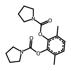 Cc1ccc(C)c(OC(=O)N2CCCC2)c1OC(=O)N1CCCC1